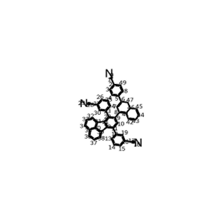 N#Cc1ccc(C2=CC(c3cc(-c4cccc(C#N)c4)c4c(c3-c3cccc(C#N)c3)-c3cccc5cccc-4c35)=C3C=CC=CC3C2)cc1